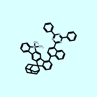 C[Si]1(C)c2ccccc2-c2cc3c(cc21)-c1c(-c2ccc(-c4nc(-c5ccccc5)nc(-c5ccccc5)n4)c4ccccc24)cccc1C31C2CC3CC(C2)CC1C3